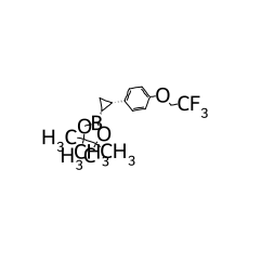 CC1(C)OB([C@@H]2C[C@@H]2c2ccc(OCC(F)(F)F)cc2)OC1(C)C